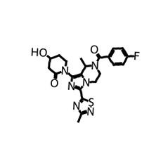 Cc1nsc(-c2nc(N3CCC(O)CC3=O)c3n2CCN(C(=O)c2ccc(F)cc2)C3C)n1